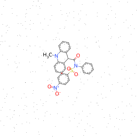 CN1c2ccccc2C(C(=O)N(c2ccccc2)S(=O)(=O)c2ccc([N+](=O)[O-])cc2)c2ccccc21